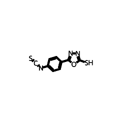 S=C=Nc1ccc(-c2nnc(S)o2)cc1